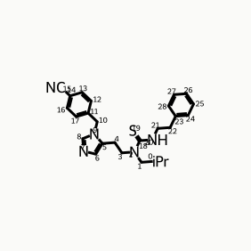 CC(C)CN(CCc1cncn1Cc1ccc(C#N)cc1)C(=S)NCCc1ccccc1